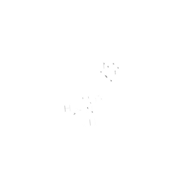 CC(C)(C)NC(=O)OCCn1cnnn1